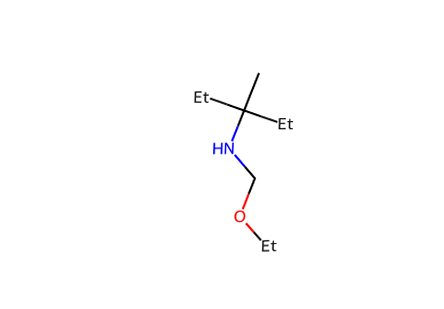 CCOCNC(C)(CC)CC